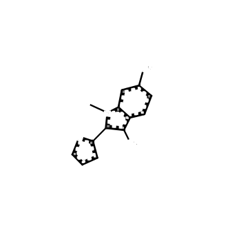 CCn1c(-c2ccco2)c(C#N)c2ccc(OC)cc21